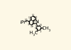 Cc1cc(C)cc(C2=Nc3cccc4c(CC(C)C)ccc2c34)c1